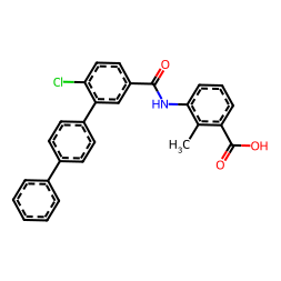 Cc1c(NC(=O)c2ccc(Cl)c(-c3ccc(-c4ccccc4)cc3)c2)cccc1C(=O)O